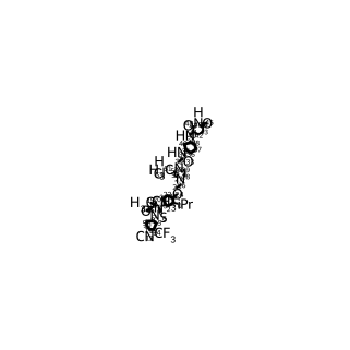 CC(C)c1cc(N2C(=S)N(c3ccc(C#N)c(C(F)(F)F)c3)C(=O)C2(C)C)ccc1OCCN1CCN(CC(=O)Nc2cccc(NC3CCC(=O)NC3=O)c2)C(C)C1.Cl